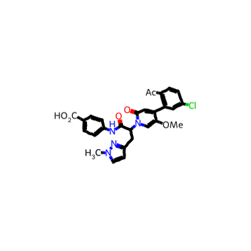 COc1cn(C(Cc2ccn(C)n2)C(=O)Nc2ccc(C(=O)O)cc2)c(=O)cc1-c1cc(Cl)ccc1C(C)=O